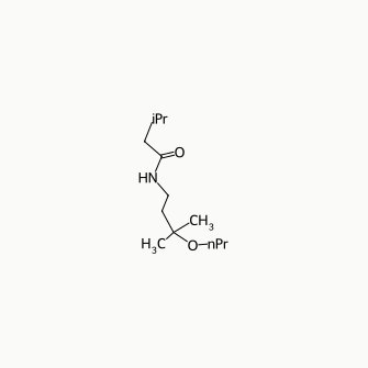 CCCOC(C)(C)CCNC(=O)CC(C)C